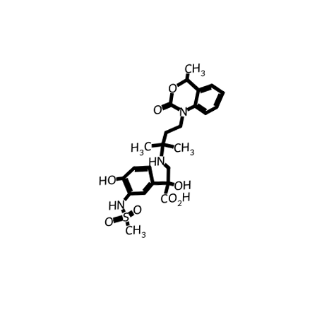 CC1OC(=O)N(CCC(C)(C)NCC(O)(C(=O)O)c2ccc(O)c(NS(C)(=O)=O)c2)c2ccccc21